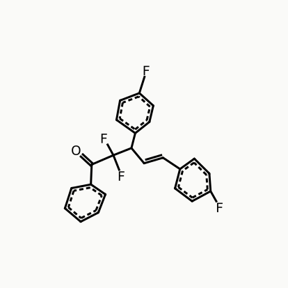 O=C(c1ccccc1)C(F)(F)C(C=Cc1ccc(F)cc1)c1ccc(F)cc1